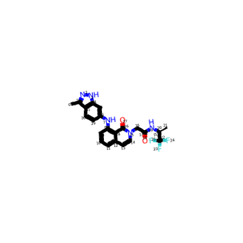 Cc1n[nH]c2cc(Nc3cccc4ccn(CC(=O)N[C@@H](C)C(F)(F)F)c(=O)c34)ccc12